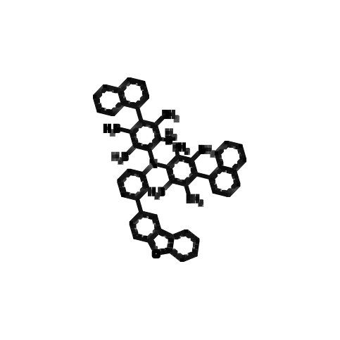 Bc1c(B)c(N(c2cccc(-c3ccc4oc5ccccc5c4c3)c2)c2c(B)c(B)c(-c3cccc4ccccc34)c(B)c2B)c(B)c(B)c1-c1cccc2ccccc12